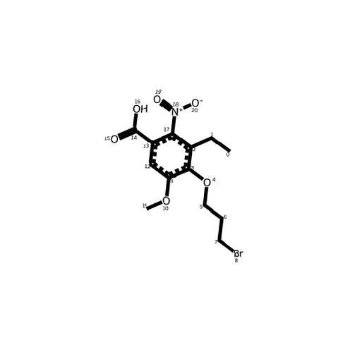 CCc1c(OCCCBr)c(OC)cc(C(=O)O)c1[N+](=O)[O-]